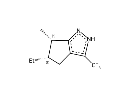 CC[C@H]1Cc2c(n[nH]c2C(F)(F)F)[C@H]1C